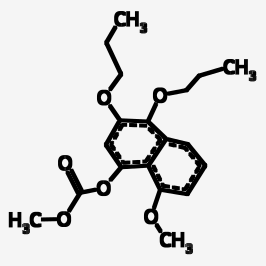 CCCOc1cc(OC(=O)OC)c2c(OC)cccc2c1OCCC